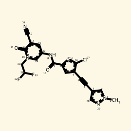 Cn1cc(C#Cc2cc(C(=O)Nc3cc(C#N)c(=O)n(CC(F)F)c3)sc2Cl)cn1